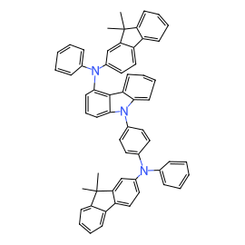 CC1(C)c2ccccc2-c2ccc(N(c3ccccc3)c3ccc(-n4c5ccccc5c5c(N(c6ccccc6)c6ccc7c(c6)C(C)(C)c6ccccc6-7)cccc54)cc3)cc21